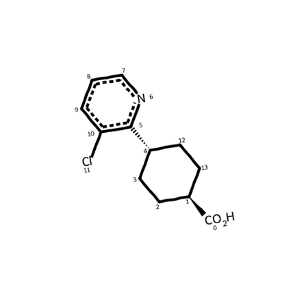 O=C(O)[C@H]1CC[C@H](c2ncccc2Cl)CC1